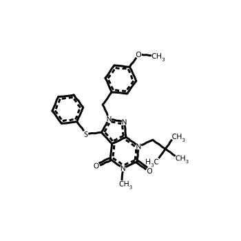 COc1ccc(Cn2nc3c(c2Sc2ccccc2)c(=O)n(C)c(=O)n3CC(C)(C)C)cc1